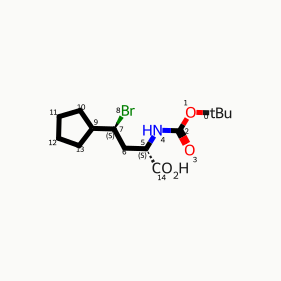 CC(C)(C)OC(=O)N[C@@H](C[C@H](Br)C1CCCC1)C(=O)O